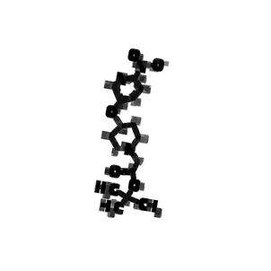 CC(C)(C)OC(=O)CN1CCC(Oc2ccc([N+](=O)[O-])nc2)CC1